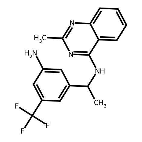 Cc1nc(NC(C)c2cc(N)cc(C(F)(F)F)c2)c2ccccc2n1